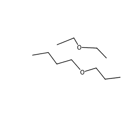 CCCCOCCC.CCOCC